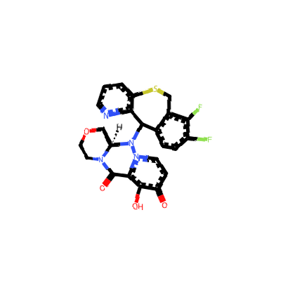 O=C1c2c(O)c(=O)ccn2N(C2c3ccc(F)c(F)c3CSc3cccnc32)[C@@H]2COCCN12